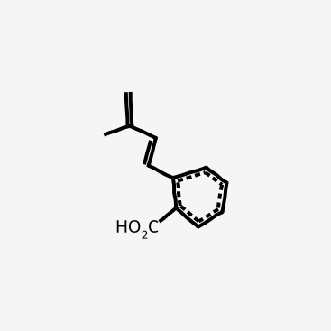 C=C(C)C=Cc1ccccc1C(=O)O